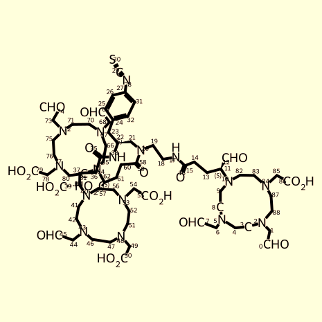 O=CCN1CCN(CC=O)CCN([C@H](C=O)CCC(=O)NCCN(C[C@H](Cc2ccc(N=C=S)cc2)NC(=O)CC[C@@H](C(=O)O)N2CCN(CC=O)CCN(CC(=O)O)CCN(CC(=O)O)CC2)C(=O)CC[C@@H](C(=O)O)N2CCN(CC=O)CCN(CC=O)CCN(CC(=O)O)CC2)CCN(CC(=O)O)CC1